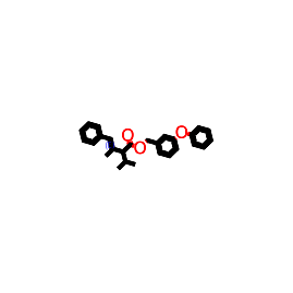 C/C(=C\c1ccccc1)C(C(=O)OCc1cccc(Oc2ccccc2)c1)C(C)C